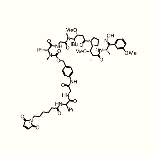 CC[C@H](C)C([C@@H](CC(=O)N1CCC[C@H]1[C@H](OC)[C@@H](C)C(=O)N[C@H](C)/C(=N/O)c1cccc(OC)c1)OC)N(C)C(=O)CNC(=O)C(C(C)C)N(C)C(=O)OCc1ccc(NC(=O)CNC(=O)C(NC(=O)CCCCCN2C(=O)C=CC2=O)C(C)C)cc1